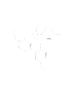 Cc1ccc(S(=O)(=O)Oc2cc(CO)ccc2-c2cc(S(=O)(=O)O)ccc2C)cc1